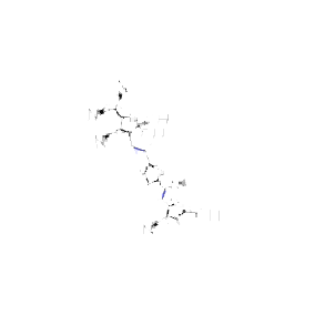 [C-]#[N+]/C(=C\c1sc(C)cc1C#N)c1ccc(/C=C/C2=C(C#N)C(=C(C#N)C#N)OC2(C)C)s1